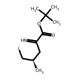 C[C@@H](CI)CC(=N)C(=O)OC(C)(C)C